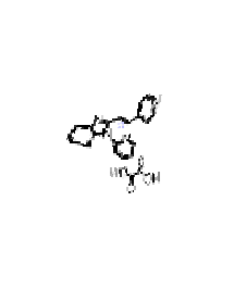 C(=C\c1nc2ccccc2n1-c1ccccn1)/c1ccncc1.O=C(O)C(=O)O